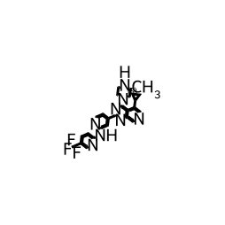 C[C@H]1CN(c2nc(-c3ccnc(Nc4ccc(C(F)(F)F)cn4)c3)nc3cncc(C4CC4)c23)CCN1